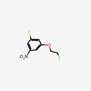 O=[N+]([O-])c1cc(F)cc(OCCF)c1